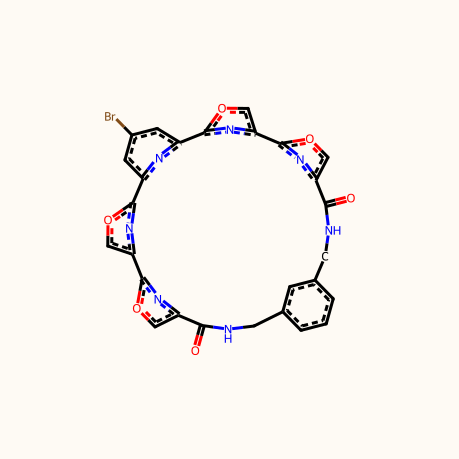 O=C1NCc2cccc(c2)CNC(=O)c2coc(n2)-c2coc(n2)-c2cc(Br)cc(n2)-c2nc(co2)-c2nc1co2